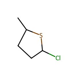 CC1CCC(Cl)S1